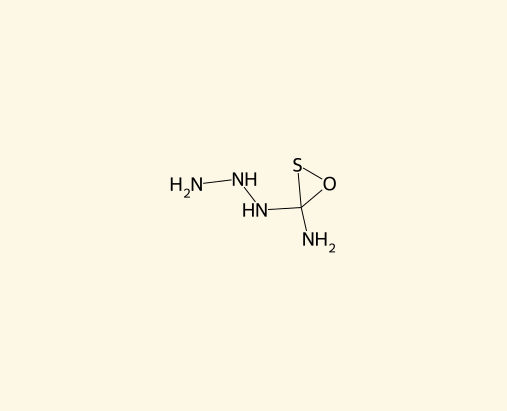 NNNC1(N)OS1